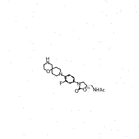 CC(=O)NC[C@H]1CN(c2ccc(N3CCC4(CC3)CNCCO4)c(F)c2)C(=O)O1